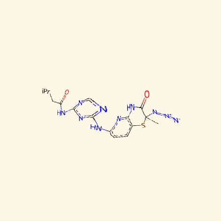 CC(C)CC(=O)Nc1ncnc(Nc2ccc3c(n2)NC(=O)C(C)(N=[N+]=[N-])S3)n1